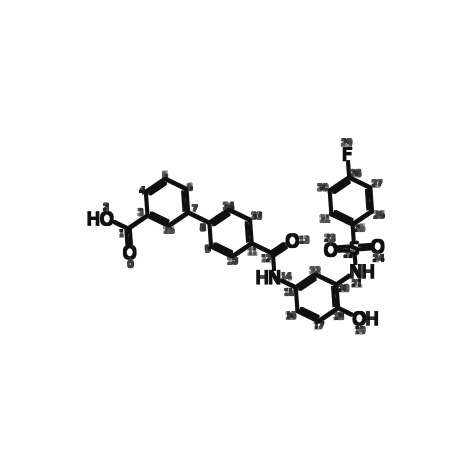 O=C(O)c1cccc(-c2ccc(C(=O)Nc3ccc(O)c(NS(=O)(=O)c4ccc(F)cc4)c3)cc2)c1